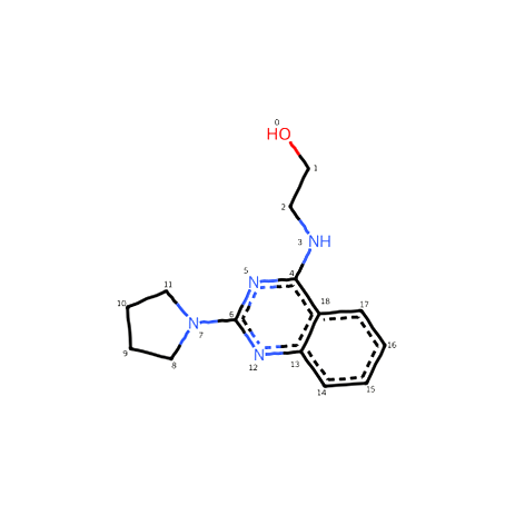 OCCNc1nc(N2CCCC2)nc2ccccc12